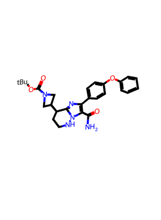 CC(C)(C)OC(=O)N1CC(C2CCNn3c2nc(-c2ccc(Oc4ccccc4)cc2)c3C(N)=O)C1